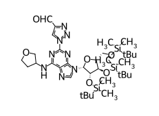 CC(C)(C)[Si](C)(C)OC[C@H]1O[C@@H](n2cnc3c(NC4CCOC4)nc(-n4cc(C=O)nn4)nc32)[C@@H](O[Si](C)(C)C(C)(C)C)[C@@H]1O[Si](C)(C)C(C)(C)C